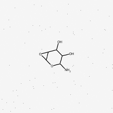 NC1OC2OC2C(O)C1O